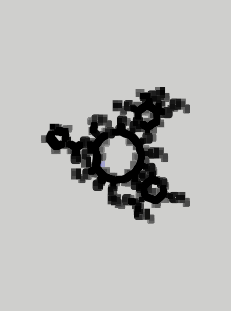 CC[C@H]1OC(=O)[C@H](C)[C@@H](O[C@H]2C[C@@](C)(OC)[C@@]3(CO3)[C@H](C)O2)[C@H](C)[C@@H](O[C@H]2C[C@@H](N(C)C)C[C@@H](C)O2)[C@@](C)(OC)C[C@@H](C)C(=O)/C(C)=C/[C@]1(C)OC(=O)n1ccnc1